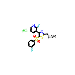 CNCc1nc(-c2cccnc2F)c(S(=O)(=O)c2cccc(F)c2)s1.Cl